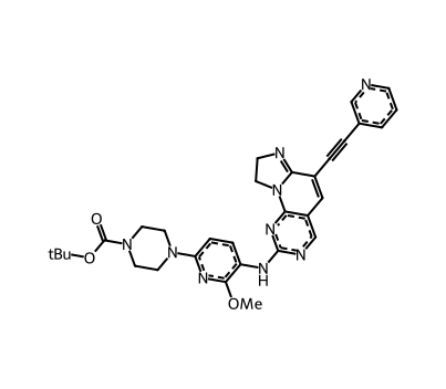 COc1nc(N2CCN(C(=O)OC(C)(C)C)CC2)ccc1Nc1ncc2c(n1)N1CCN=C1C(C#Cc1cccnc1)=C2